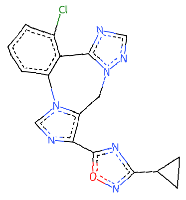 Clc1cccc2c1-c1ncnn1Cc1c(-c3nc(C4CC4)no3)ncn1-2